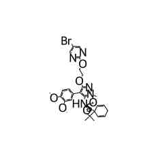 COc1ccc(-c2c(OCCOc3ncc(Br)cn3)nn(C)c2NS(=O)(=O)C2(C(C)(C)C)C=CCC=C2)cc1OC